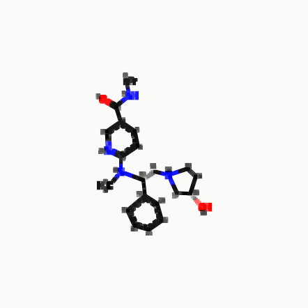 CCCNC(=O)c1ccc(N(C)[C@H](CN2CC[C@H](O)C2)c2ccccc2)nc1